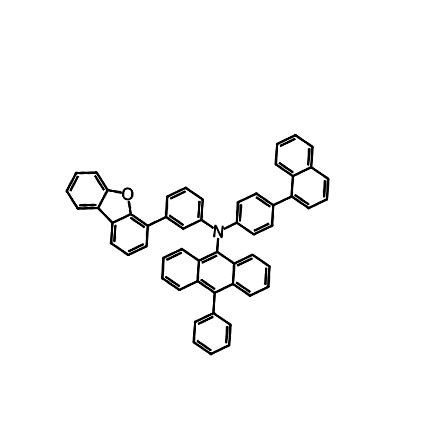 c1ccc(-c2c3ccccc3c(N(c3ccc(-c4cccc5ccccc45)cc3)c3cccc(-c4cccc5c4oc4ccccc45)c3)c3ccccc23)cc1